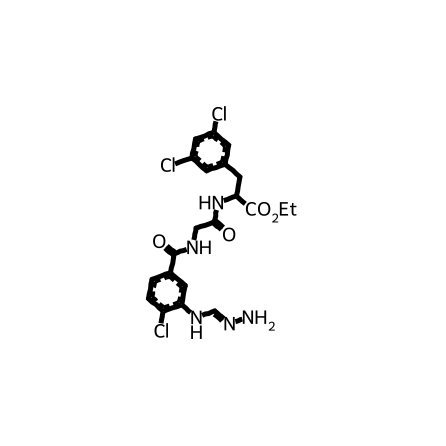 CCOC(=O)C(Cc1cc(Cl)cc(Cl)c1)NC(=O)CNC(=O)c1ccc(Cl)c(NC=NN)c1